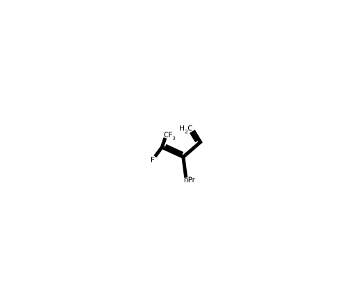 C=CC(CCC)=C(F)C(F)(F)F